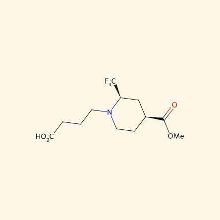 COC(=O)[C@H]1CCN(CCCC(=O)O)[C@@H](C(F)(F)F)C1